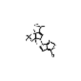 CC(O)C1=C[C@@H](n2ccc3c(Cl)ncnc32)[C@@H]2OC(C)(C)O[C@]12C